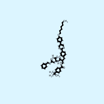 CCCCCCCOc1ccc(-c2cnc(-c3ccc(CC(CNC(=O)c4ccc(C(C)(C)C)cc4)C(=O)N[C@@H](CC(=O)OCc4ccccc4)C(=O)O)cc3)nc2)cc1